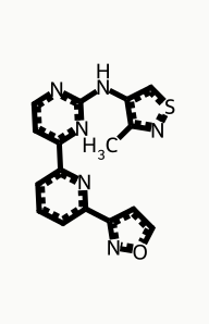 Cc1nscc1Nc1nccc(-c2cccc(-c3ccon3)n2)n1